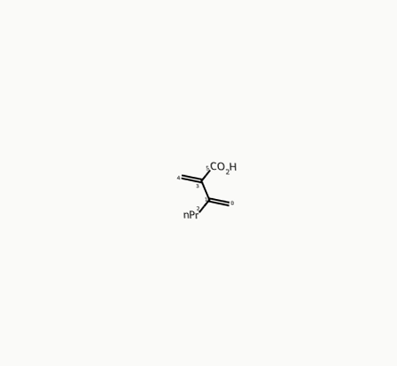 C=C(CCC)C(=C)C(=O)O